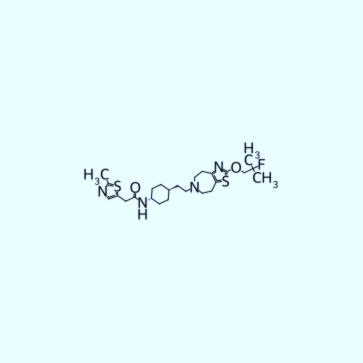 Cc1ncc(CC(=O)N[C@H]2CC[C@H](CCN3CCc4nc(OCC(C)(C)F)sc4CC3)CC2)s1